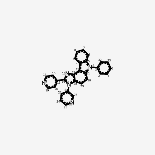 c1ccc(-n2c3ccccc3c3c4nc(-c5ccncc5)n(-c5cccnc5)c4ccc32)cc1